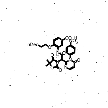 CCCCCCCCCCCCOc1ccc(C(=O)O)cc1NC(=O)C(c1nccc(=O)n1-c1ccc([N+](=O)[O-])cc1)N1C(=O)OC(C)(C)C1=O